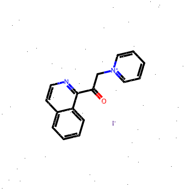 O=C(C[n+]1ccccc1)c1nccc2ccccc12.[I-]